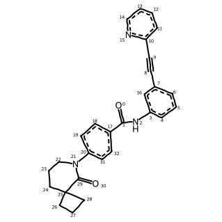 O=C(Nc1cccc(C#Cc2ccccn2)c1)c1ccc(N2CCCC3(CCC3)C2=O)cc1